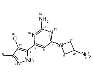 Cc1n[nH]c(-c2cc(N3CC(N)C3)nc(N)n2)c1Cl